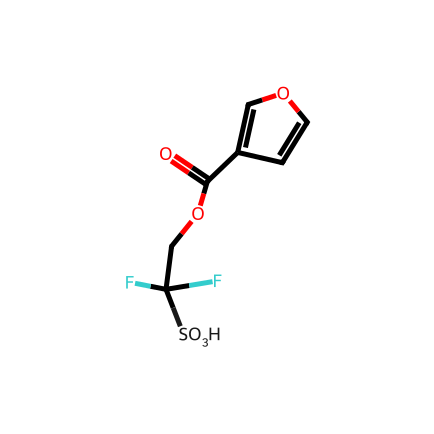 O=C(OCC(F)(F)S(=O)(=O)O)c1ccoc1